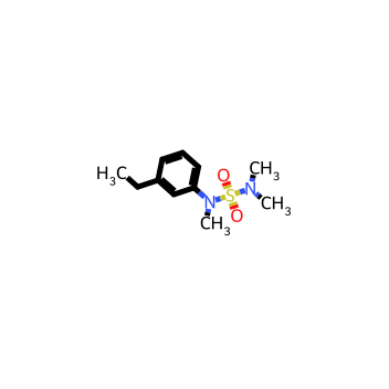 CCc1cccc(N(C)S(=O)(=O)N(C)C)c1